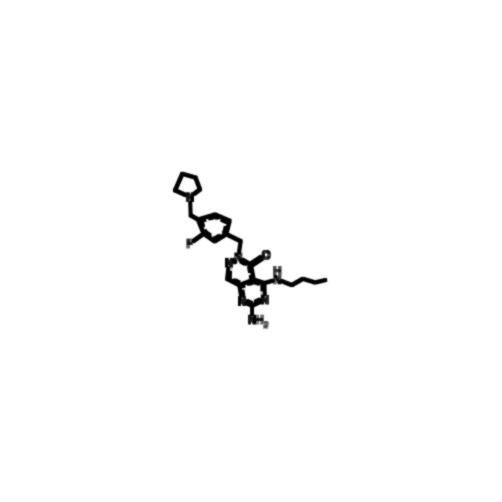 CCCCNc1nc(N)nc2cnn(Cc3ccc(CN4CCCC4)c(F)c3)c(=O)c12